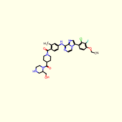 Cc1cc(Nc2nccn3c(-c4ccc(OCC#N)c(F)c4Cl)cnc23)ccc1C(=O)N1CCC(C(=O)N2CCNCC2CO)CC1